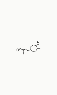 COC1CCC(CCNC=O)CCC1C